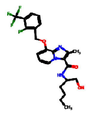 CCCCC(CO)NC(=O)c1c(C)nc2c(OCc3cccc(C(F)(F)F)c3F)cccn12